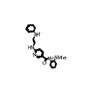 CNc1ccccc1NC(=O)c1ccc(NCCNc2ccccc2)nc1